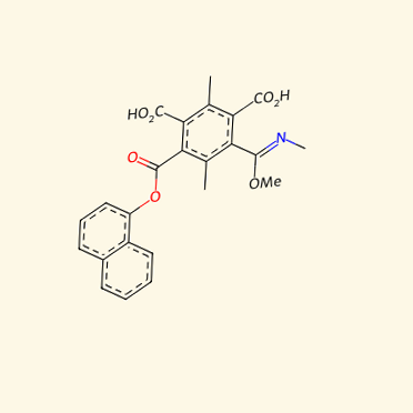 CN=C(OC)c1c(C)c(C(=O)Oc2cccc3ccccc23)c(C(=O)O)c(C)c1C(=O)O